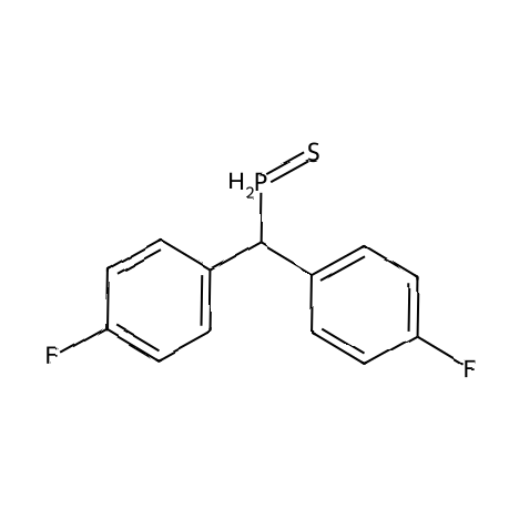 Fc1ccc(C([PH2]=S)c2ccc(F)cc2)cc1